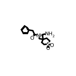 NCC1(CNC(=O)Cc2ccccc2)CCS(=O)(=O)CC1